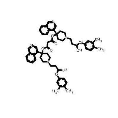 Cc1ccc(OC(O)CCN2CCC(OC(=O)CC(=O)OC3(c4cncc5ccccc45)CCN(CCC(O)Oc4ccc(C)c(C)c4)CC3)(c3cncc4ccccc34)CC2)cc1C